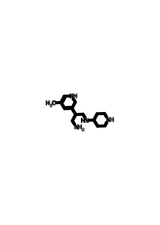 CC1=CNCC(C(CN)CNC2CCNCC2)=C1